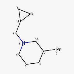 CC(C)C1CCCN(CC2CC2)C1